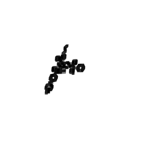 CCCCOC(=O)n1nc(NC(=O)c2ccc(N3CCN(C)CC3)cc2)c2c1CN(C(=O)C(OC)c1ccccc1)C2